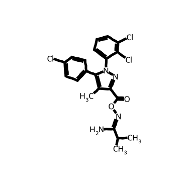 Cc1c(C(=O)ON=C(N)C(C)C)nn(-c2cccc(Cl)c2Cl)c1-c1ccc(Cl)cc1